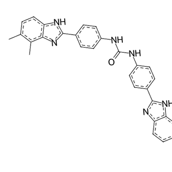 Cc1ccc2[nH]c(-c3ccc(NC(=O)Nc4ccc(-c5nc6ccccc6[nH]5)cc4)cc3)nc2c1C